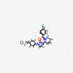 O=c1n(-c2ccc([N+](=O)[O-])cc2)ccn1C1C=CCCN1Cc1ccc(F)cc1